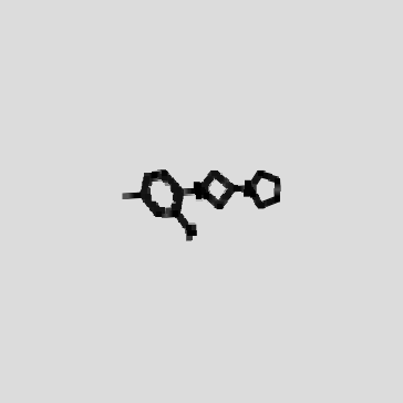 Cc1ccc(N2CC(N3CCCC3)C2)c(F)c1